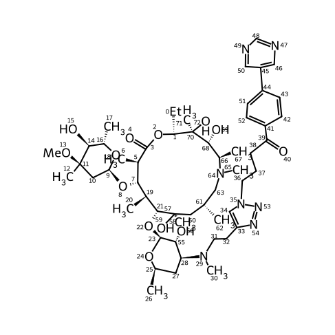 CC[C@H]1OC(=O)[C@H](C)[C@@H](O[C@H]2C[C@@](C)(OC)[C@@H](O)[C@H](C)O2)[C@H](C)[C@@H](O[C@@H]2O[C@H](C)C[C@H](N(C)CCc3cn(CCCC(=O)c4ccc(-c5cncnc5)cc4)nn3)[C@H]2O)[C@](C)(O)C[C@@H](C)CN(C)[C@H](C)[C@@H](O)[C@]1(C)O